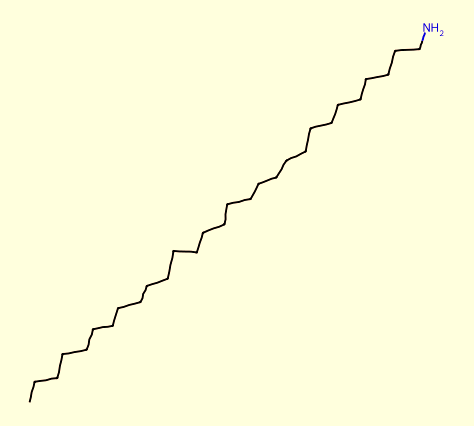 CCCCCCCCCCCCCCCCCCCCCCCCCCCCCN